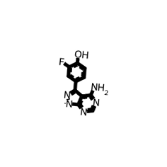 Nc1ncnc2c1C(c1ccc(O)c(F)c1)=N[N]2